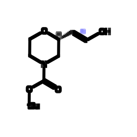 CC(C)(C)OC(=O)N1CCO[C@H](/C=C/O)C1